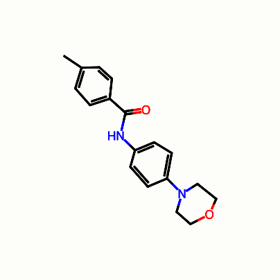 Cc1ccc(C(=O)Nc2ccc(N3CCOCC3)cc2)cc1